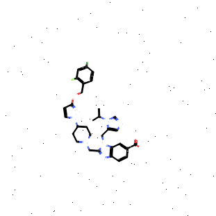 CC(C)n1cncc1Cn1c(CN2CCC(n3ccc(OCc4ccc(Cl)cc4F)n3)CC2)nc2ccc(C(=O)O)cc21.N